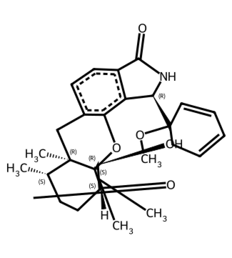 COC1([C@@H]2NC(=O)c3ccc4c(c32)O[C@@]23C[C@@H](O)C(=O)C(C)(C)[C@@H]2CC[C@H](C)[C@@]3(C)C4)C=CC=CC1